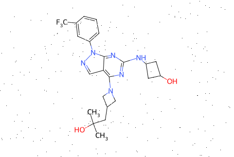 CC(C)(O)CC1CN(c2nc(NC3CC(O)C3)nc3c2cnn3-c2cccc(C(F)(F)F)c2)C1